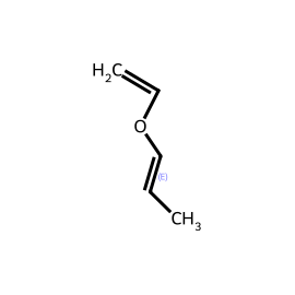 C=CO/C=C/C